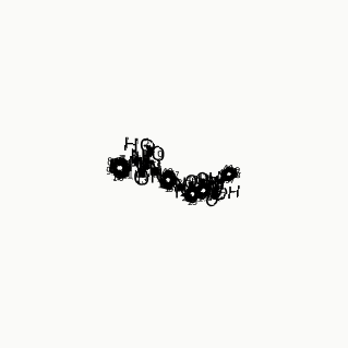 O=C(O)C1=NN(c2ccccc2)C(=O)C1N=Nc1ccc(N=Nc2ccc3cc(S(=O)(=O)O)c(N=Nc4ccccc4)c(O)c3c2O)cc1